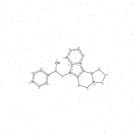 OC(Cn1c2c(c3cccnc31)C1CCCN1CC2)c1ccncc1